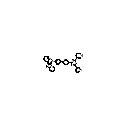 c1cncc(-c2nc(-c3ccc(-c4ccc(-c5nc6ccccc6c6nc7ccccn7c56)cc4)cc3)nc(-c3cccnc3)n2)c1